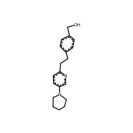 OCc1ccc(CCc2ccc(N3CCCCC3)cn2)cc1